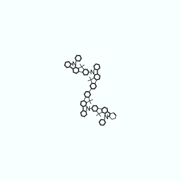 CC1(C)c2cc(-n3c4ccccc4c4ccc5c(c43)C(C)(C)c3cc(-c4ccc6c(c4)C(C)(C)c4c-6ccc6c7ccccc7n(-c7ccc8c(c7)C(C)(C)c7c-8ccc8c9ccccc9n(-c9ccccc9)c78)c46)ccc3-5)ccc2-c2ccc3c4c(n(-c5ccccc5)c3c21)CCC=C4